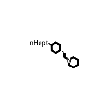 CCCCCCC[C@H]1CC[C@H](C=CN2CCCCC2)CC1